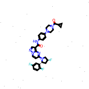 O=C(Nc1ccc(N2CCN(C(=O)C3CC3)CC2)cc1)c1cnn2ccc(N3C[C@@H](F)C[C@@H]3c3cc(F)ccc3F)nc12